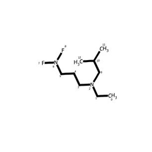 CCN(CCCN(F)F)CC(C)C